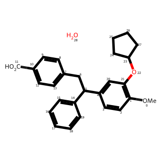 COc1ccc(C(Cc2ccc(C(=O)O)cc2)c2ccccc2)cc1OC1CCCC1.O